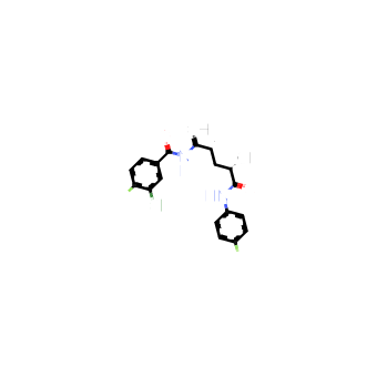 C=C(CC[C@@H](C)C(=O)Nc1ccc(F)cc1)NC(=O)c1ccc(F)c(Cl)c1